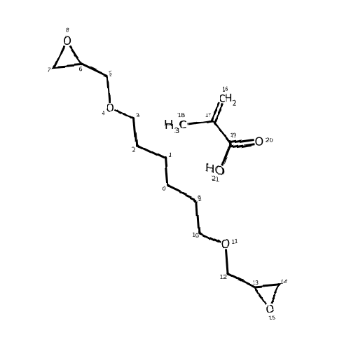 C(CCCOCC1CO1)CCOCC1CO1.C=C(C)C(=O)O